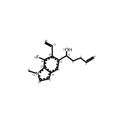 C=CCCC(O)c1cc2ccn(C)c2c(F)c1C=C